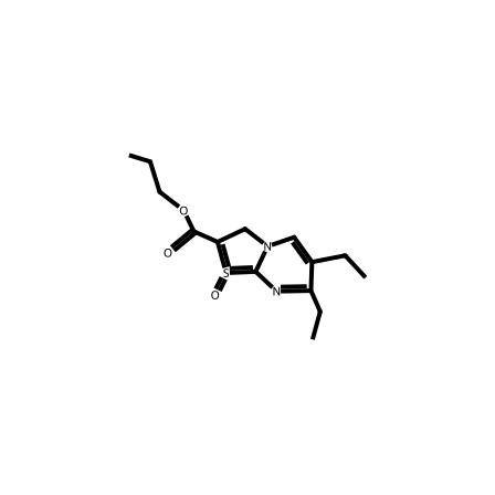 CCCOC(=O)C1=S(=O)=C2N=C(CC)C(CC)=CN2C1